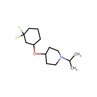 CC(C)N1CCC(OC2CCCC(F)(F)C2)CC1